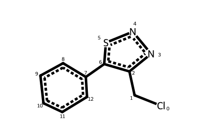 ClCc1nnsc1-c1ccccc1